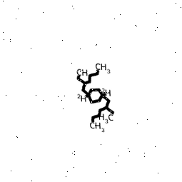 [2H]C1(CC(CC)CCCC)CCC([2H])(CC(CC)CCCC)CC1